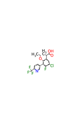 CCOc1c(C(C)C(=O)O)cc(Cl)c(F)c1-c1ccc(C(F)(F)F)nc1